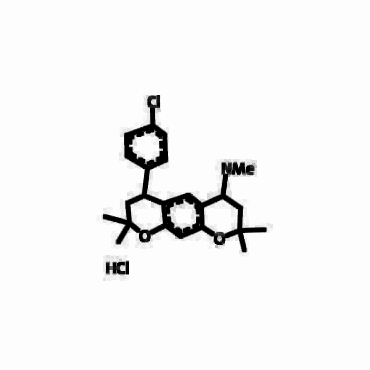 CNC1CC(C)(C)Oc2cc3c(cc21)C(c1ccc(Cl)cc1)CC(C)(C)O3.Cl